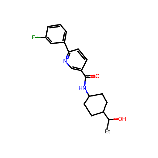 CCC(O)C1CCC(NC(=O)c2ccc(-c3cccc(F)c3)nc2)CC1